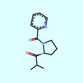 CC(C)C(=O)[C@@H]1CCCN1C(=O)c1ccccn1